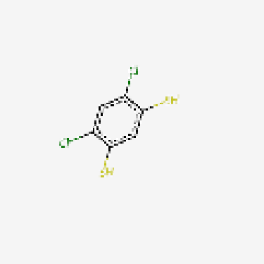 Sc1cc(S)c(Cl)cc1Cl